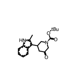 Cc1[nH]c2ccccc2c1C1CC(=O)CN(C(=O)OC(C)(C)C)C1